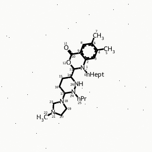 CCCCCCCN1c2cc(C)c(C)cc2C(=O)OC1C1CCC(N2CCN(C)C2)N(CCC)N1